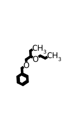 CCCOC(CC)COCc1ccccc1